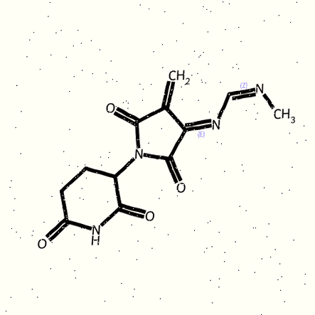 C=C1C(=O)N(C2CCC(=O)NC2=O)C(=O)/C1=N/C=N\C